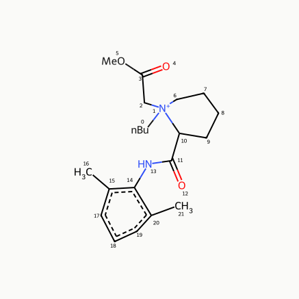 CCCC[N+]1(CC(=O)OC)CCCCC1C(=O)Nc1c(C)cccc1C